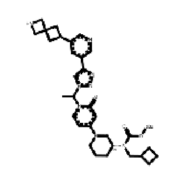 CC(n1cc(-c2cncc(C3CC4(CNC4)C3)c2)nn1)n1ccc(N2CCC[C@@H](N(CC3CCC3)C(=O)OC(C)(C)C)C2)cc1=O